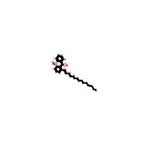 CCCCCCCCCCCCCCCc1cccc(OC)c1C(=O)c1ccccc1